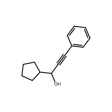 OC(C#Cc1ccccc1)C1CCCC1